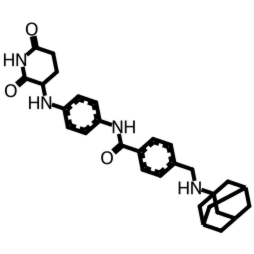 O=C1CCC(Nc2ccc(NC(=O)c3ccc(CNC45CC6CC(CC(C6)C4)C5)cc3)cc2)C(=O)N1